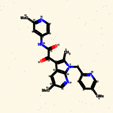 COc1ccc(Cn2c(C)c(C(=O)C(=O)Nc3ccnc(OC)c3)c3cc(OC)cnc32)nc1